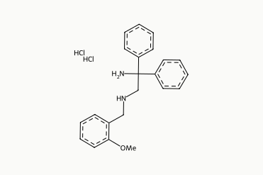 COc1ccccc1CNCC(N)(c1ccccc1)c1ccccc1.Cl.Cl